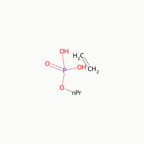 C=C.CCCOP(=O)(O)O